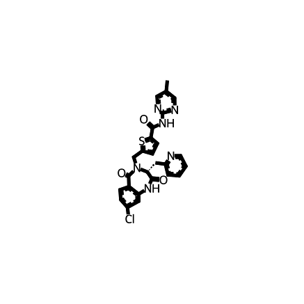 Cc1cnc(NC(=O)c2ccc(CN3C(=O)c4ccc(Cl)cc4NC(=O)[C@H]3Cc3ccccn3)s2)nc1